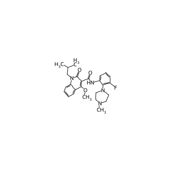 COc1c(C(=O)Nc2cccc(F)c2N2CCN(C)CC2)c(=O)n(CC(C)C)c2ccccc12